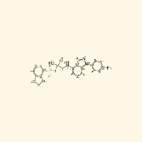 CC(C)(CC(O)(CNc1cccc2c1cnn2-c1ccc(F)nc1)C(F)(F)F)c1cccc2c1OCO2